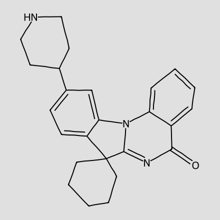 O=c1nc2n(c3ccccc13)-c1cc(C3CCNCC3)ccc1C21CCCCC1